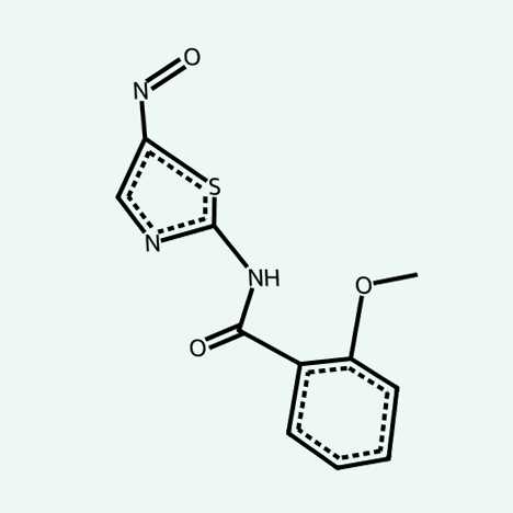 COc1ccccc1C(=O)Nc1ncc(N=O)s1